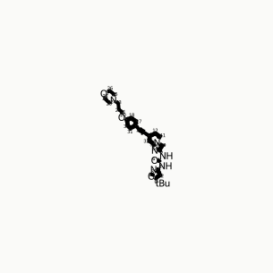 CC(C)(C)c1cc(NC(=O)Nc2cn3ccc(C#Cc4ccc(OCCCN5CCOCC5)cc4)cc3n2)no1